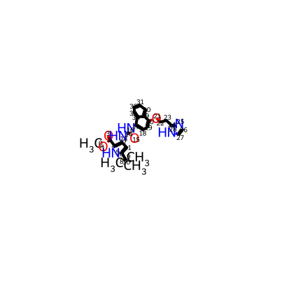 COC(=O)c1[nH]c(C(C)(C)C)cc1NC(=O)Nc1ccc(OCCc2ncc[nH]2)c2ccccc12